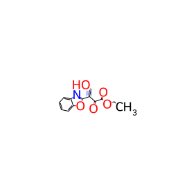 CCOC(=O)C(=O)/C(=C/O)c1nc2ccccc2o1